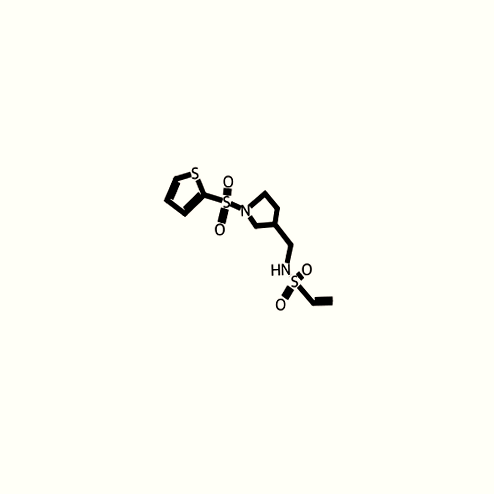 C=CS(=O)(=O)NCC1CCN(S(=O)(=O)c2cccs2)C1